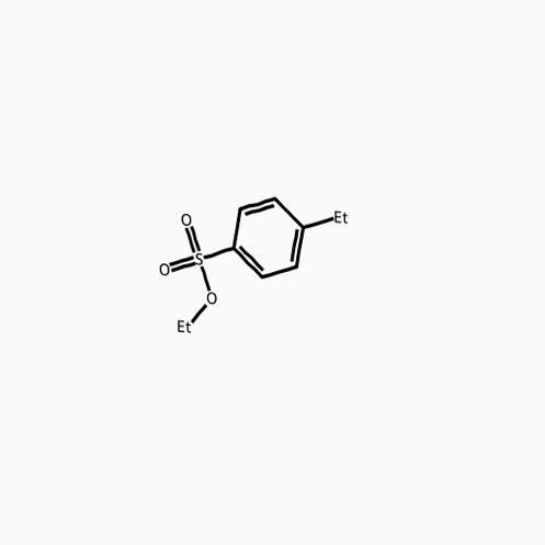 CCOS(=O)(=O)c1ccc(CC)cc1